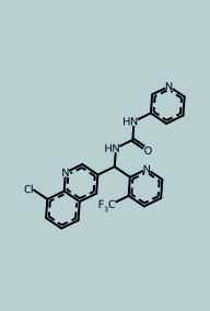 O=C(Nc1cccnc1)NC(c1cnc2c(Cl)cccc2c1)c1ncccc1C(F)(F)F